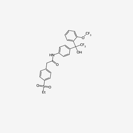 CCS(=O)(=O)c1ccc(CC(=O)Nc2ccc(C(O)(c3ccccc3OC(F)(F)F)C(F)(F)F)cc2)cc1